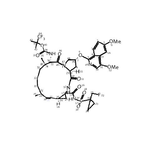 COc1ccc2c(O[C@@H]3C[C@H]4C(=O)N[C@]5(C(=O)NS(=O)(=O)C6(CF)CC6)C[C@H]5/C=C\[C@@H](C)CCC[C@@H](C)[C@H](NC(=O)OC(C)(C)C(F)(F)F)C(=O)N4C3)ncc(OC)c2c1